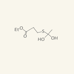 CCOC(=O)CCSC(C)(O)O